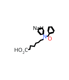 O=C(O)CCCCCCCN(C(=O)c1ccccc1)c1ccccc1.[NaH]